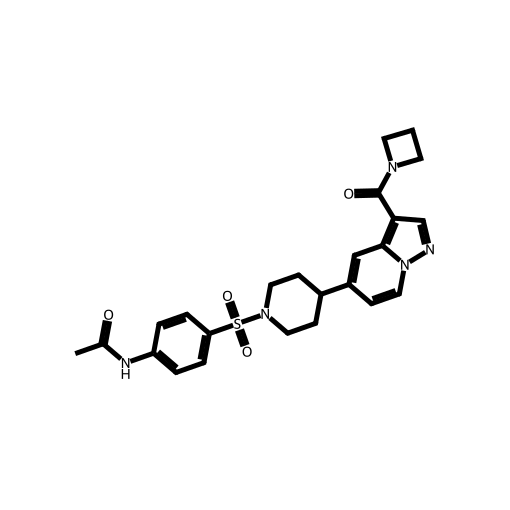 CC(=O)Nc1ccc(S(=O)(=O)N2CCC(c3ccn4ncc(C(=O)N5CCC5)c4c3)CC2)cc1